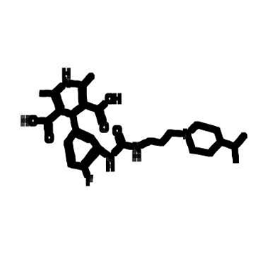 CC1=C(C(=O)O)C(c2ccc(F)c(NC(=O)NCCCN3CCC(C(C)C)CC3)c2)C(C(=O)O)=C(C)N1